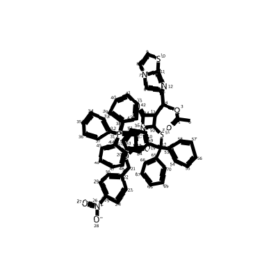 CC(=O)OC(c1cn2ccsc2n1)C1C(=O)N(C(C(=O)OCc2ccc([N+](=O)[O-])cc2)=P(c2ccccc2)(c2ccccc2)c2ccccc2)C1SC(c1ccccc1)(c1ccccc1)c1ccccc1